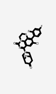 O=C1CC2CN(c3nc(=O)n4c5c(c(-c6ccc(F)cc6F)c(Cl)cc35)SCC4)CC(C1)N2